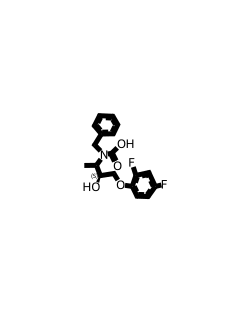 CC([C@H](O)COc1ccc(F)cc1F)N(Cc1ccccc1)C(=O)O